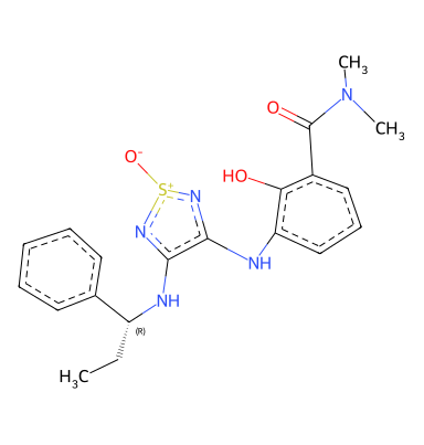 CC[C@@H](Nc1n[s+]([O-])nc1Nc1cccc(C(=O)N(C)C)c1O)c1ccccc1